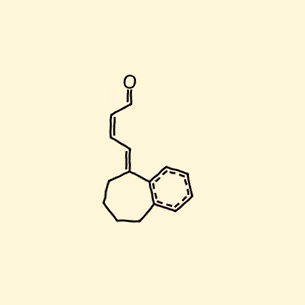 O=C/C=C\C=C1CCCCc2ccccc21